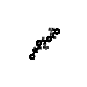 Nc1ccccc1NC(=O)c1ccc(C(=O)Nc2cccc(Nc3nc(-c4cccnc4)cs3)c2)cc1.O